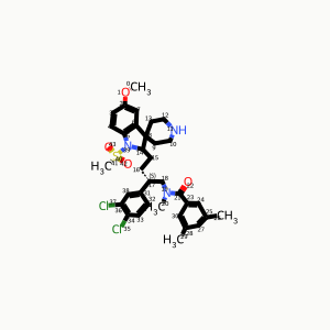 COc1ccc2c(c1)C1(CCNCC1)C(CC[C@H](CN(C)C(=O)c1cc(C)cc(C)c1)c1ccc(Cl)c(Cl)c1)N2S(C)(=O)=O